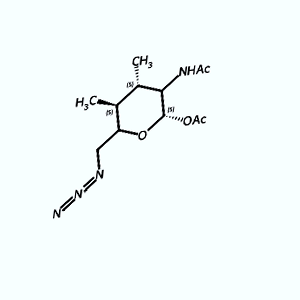 CC(=O)NC1[C@H](OC(C)=O)OC(CN=[N+]=[N-])[C@@H](C)[C@@H]1C